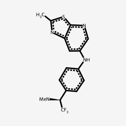 CN[C@@H](c1ccc(Nc2cnc3sc(C)nc3c2)cc1)C(F)(F)F